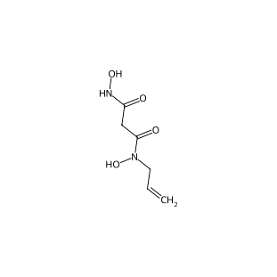 C=CCN(O)C(=O)CC(=O)NO